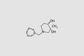 C[C@]1(O)CN(Cc2ccccc2)CC[C@H]1O